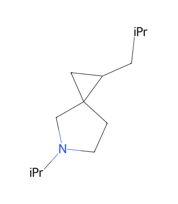 CC(C)CC1CC12CCN(C(C)C)C2